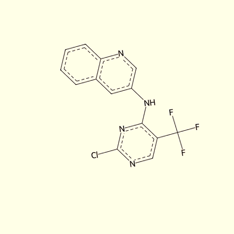 FC(F)(F)c1cnc(Cl)nc1Nc1cnc2ccccc2c1